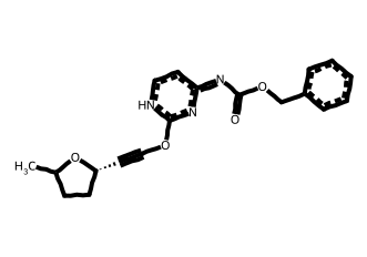 CC1CC[C@@H](C#COc2n/c(=N\C(=O)OCc3ccccc3)cc[nH]2)O1